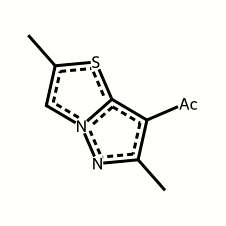 CC(=O)c1c(C)nn2cc(C)sc12